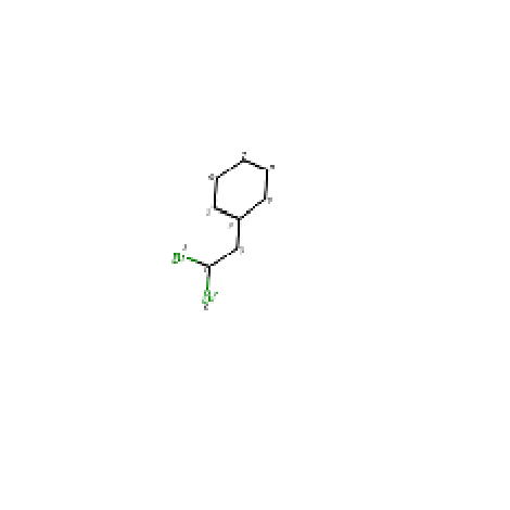 BrC(Br)CC1CCCCC1